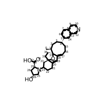 C[C@H]1CC[C@H](c2ccc3ccncc3c2)CC/C=C2/C=C3CCC(N4C[C@H](O)C[C@H]4C(=O)O)C[C@]34CC[C@@]21O4